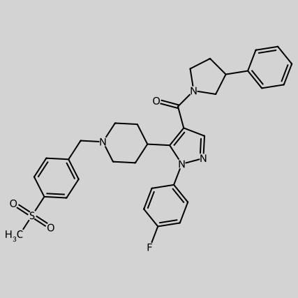 CS(=O)(=O)c1ccc(CN2CCC(c3c(C(=O)N4CCC(c5ccccc5)C4)cnn3-c3ccc(F)cc3)CC2)cc1